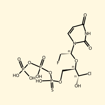 O=c1ccn([C@@H](CF)O[C@H](COP(O)(=S)OP(=O)(O)OP(=O)(O)O)[C@@H](O)Cl)c(=O)[nH]1